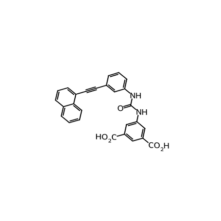 O=C(Nc1cccc(C#Cc2cccc3ccccc23)c1)Nc1cc(C(=O)O)cc(C(=O)O)c1